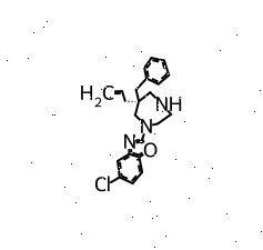 C=CC[C@]1(Cc2ccccc2)CNCCN(c2nc3cc(Cl)ccc3o2)C1